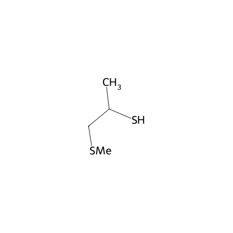 CSCC(C)S